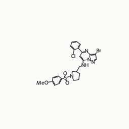 COc1ccc(S(=O)(=O)N2CCCC(CNc3cc(-c4ccccc4Cl)nc4c(Br)cnn34)C2)cc1